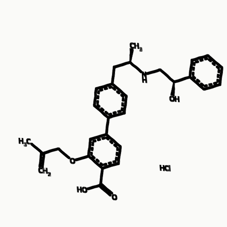 C=C(C)COc1cc(-c2ccc(C[C@@H](C)NC[C@H](O)c3ccccc3)cc2)ccc1C(=O)O.Cl